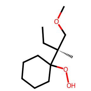 CC[C@@](C)(COC)C1(OO)CCCCC1